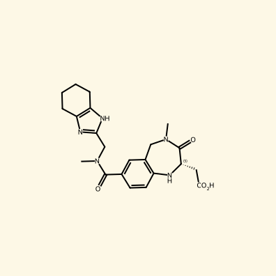 CN(Cc1nc2c([nH]1)CCCC2)C(=O)c1ccc2c(c1)CN(C)C(=O)[C@H](CC(=O)O)N2